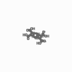 O=C(O)C1C(C(=O)O)C2C3CC(C12)C1C(C(=O)O)C(C(=O)O)C31